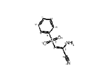 N#CC(N)=CS(=O)(=O)c1ccccc1